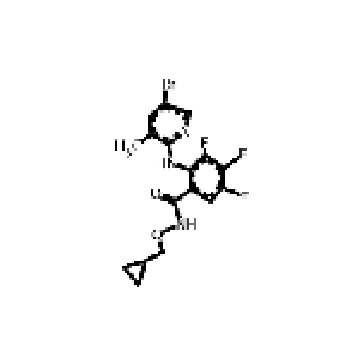 Cc1cc(Br)cnc1Nc1c(C(=O)NOCC2CC2)cc(F)c(F)c1F